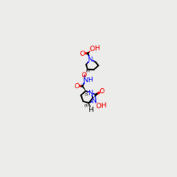 O=C(NO[C@H]1CCCN(C(=O)O)C1)[C@@H]1CC[C@@H]2CN1C(=O)N2O